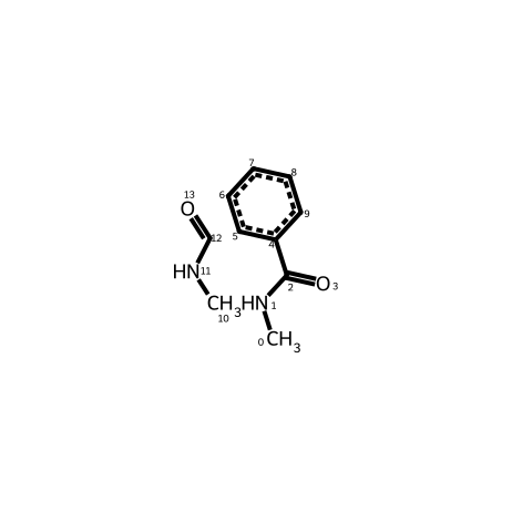 CNC(=O)c1ccccc1.CNC=O